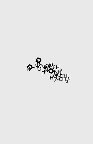 Cc1c(NC(=O)OC(C)(C)C)ccc2nc(NCC(C(=O)NCc3cccnc3)c3ccccc3)oc(=O)c12